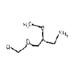 CCC(COCCl)OC